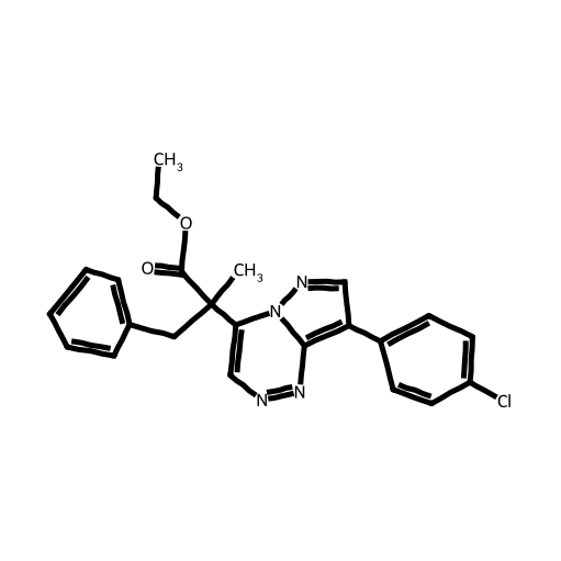 CCOC(=O)C(C)(Cc1ccccc1)c1cnnc2c(-c3ccc(Cl)cc3)cnn12